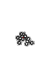 C1=CC2CC3(Cc4ccc5sc6cccc(-c7c8ccccc8c(C8CCCCC8)c8ccccc78)c6c5c4)C=CCCC3C(C3CCCCC3)C2CC1